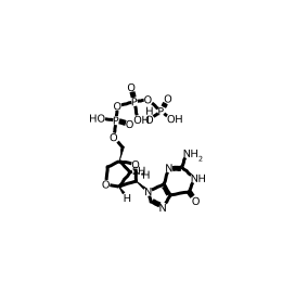 Nc1nc2c(ncn2[C@@H]2O[C@@]3(COP(=O)(O)OP(=O)(O)OP(=O)(O)O)CO[C@@H]2[C@@H]3S)c(=O)[nH]1